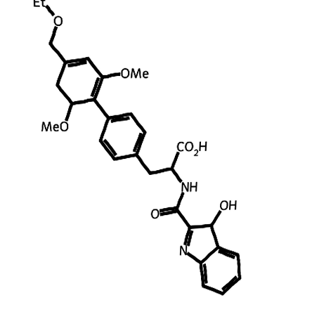 CCOCC1=CC(OC)=C(c2ccc(CC(NC(=O)C3=Nc4ccccc4C3O)C(=O)O)cc2)C(OC)C1